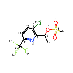 CC(OS(C)(=O)=O)c1nc(C(F)(F)F)ccc1Cl